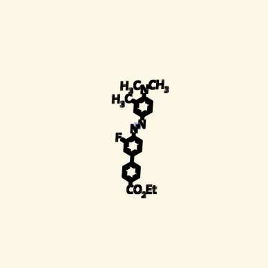 CCOC(=O)c1ccc(-c2ccc(/N=N/c3ccc(N(C)C)c(C)c3)c(F)c2)cc1